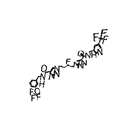 O=C(NCc1cccc(OC(F)(F)F)c1)c1cn(CCC(F)Cn2cc(C(=O)NCc3cncc(C(F)(F)F)c3)nn2)nn1